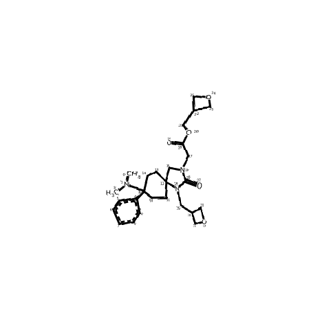 CN(C)C1(c2ccccc2)CCC2(CC1)CN(CC(=O)OCC1COC1)C(=O)N2CC1COC1